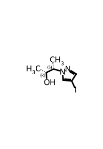 C[C@@H](O)[C@H](C)n1cc(I)cn1